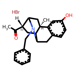 Br.CC(=O)[C@H]1CC2C3Cc4ccc(O)cc4[C@]2(C)CC1N3Cc1ccccc1